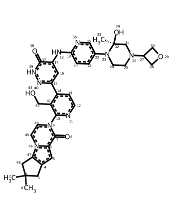 CC1(C)Cc2cc3c(=O)n(-c4nccc(-c5cc(Nc6ccc(N7CCN(C8COC8)C[C@]7(C)O)cn6)c(=O)[nH]n5)c4CO)ccn3c2C1